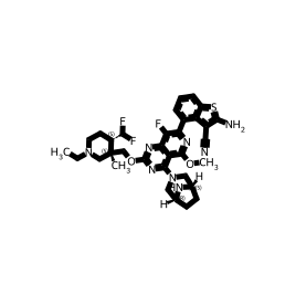 CCN1CC[C@H](C(F)F)[C@](C)(COc2nc(N3C[C@H]4CC[C@@H](C3)N4)c3c(OC)nc(-c4cccc5sc(N)c(C#N)c45)c(F)c3n2)C1